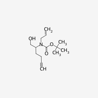 C#CCCC(CO)N(CC=C)C(=O)OC(C)(C)C